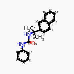 CC(C)(NC(=O)Nc1ccccc1)c1ccc2ccccc2c1